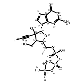 C[C@@H](OP(=O)(O)OP(=O)(O)OP(=O)(O)O)[C@H]1O[C@@H](n2cnc3c(=S)[nH]c(N)nc32)C(Cl)(C#CCl)C1CO